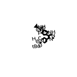 C[C@H]1CC(c2ncnc3[nH]c4cc(S(=O)(=O)NC5(C)CC5)c(F)cc4c23)=CCN1C(=O)OC(C)(C)C